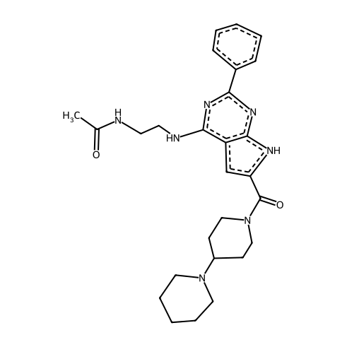 CC(=O)NCCNc1nc(-c2ccccc2)nc2[nH]c(C(=O)N3CCC(N4CCCCC4)CC3)cc12